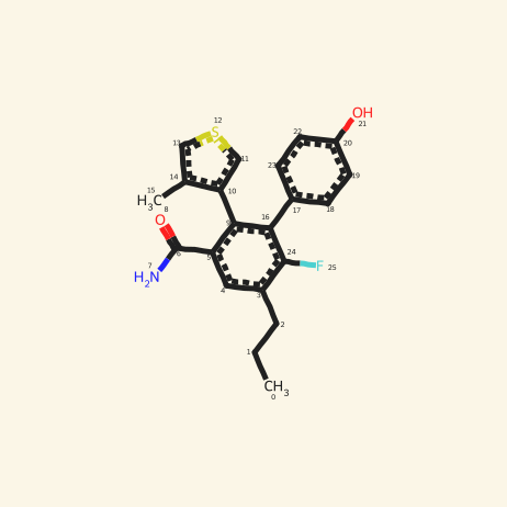 CCCc1cc(C(N)=O)c(-c2cscc2C)c(-c2ccc(O)cc2)c1F